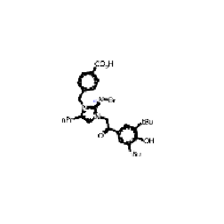 CCCc1cn(CC(=O)c2cc(C(C)(C)C)c(O)c(C(C)(C)C)c2)/c(=N\Br)n1Cc1ccc(C(=O)O)cc1